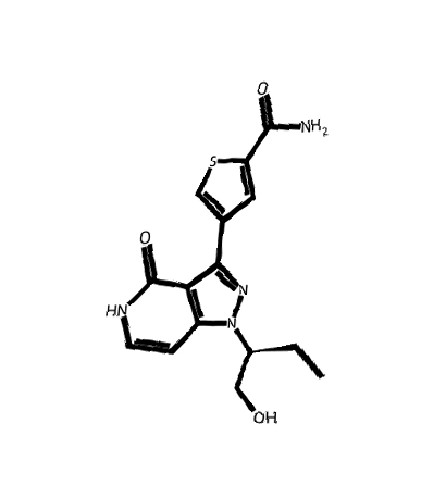 CC[C@@H](CO)n1nc(-c2csc(C(N)=O)c2)c2c(=O)[nH]ccc21